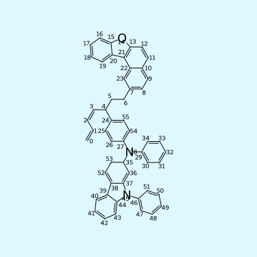 C=C/C=C\C(CCc1ccc2ccc3oc4ccccc4c3c2c1)c1ccc(N(c2ccccc2)C2C=c3c(c4ccccc4n3-c3ccccc3)=CC2)cc1